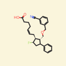 N#Cc1cccc(COC[C@@H]2C(c3ccccc3)C[C@@H](F)[C@H]2C/C=C\CCCC(=O)O)c1